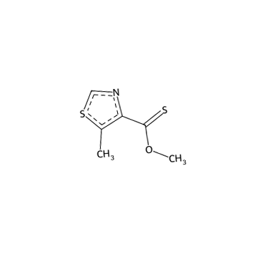 COC(=S)c1ncsc1C